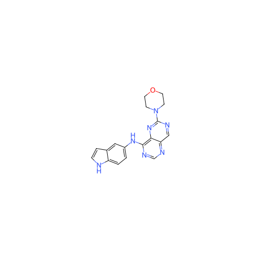 c1nc(Nc2ccc3[nH]ccc3c2)c2nc(N3CCOCC3)ncc2n1